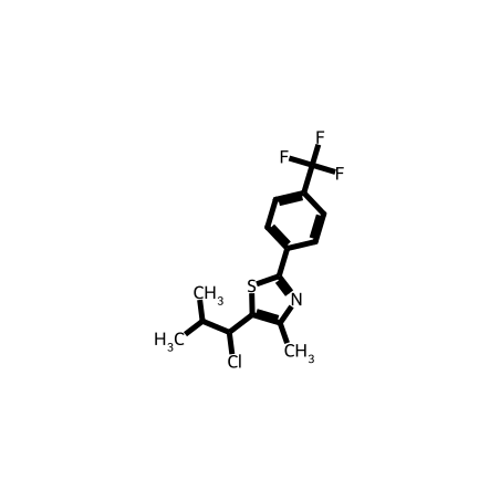 Cc1nc(-c2ccc(C(F)(F)F)cc2)sc1C(Cl)C(C)C